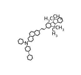 CC1(C)C2=C(c3ccccc31)C(C)(C)c1cc(/C=C/c3ccc4c(ccc5cc(N(c6ccccc6)c6ccc(-c7ccccc7)cc6)ccc54)c3)ccc12